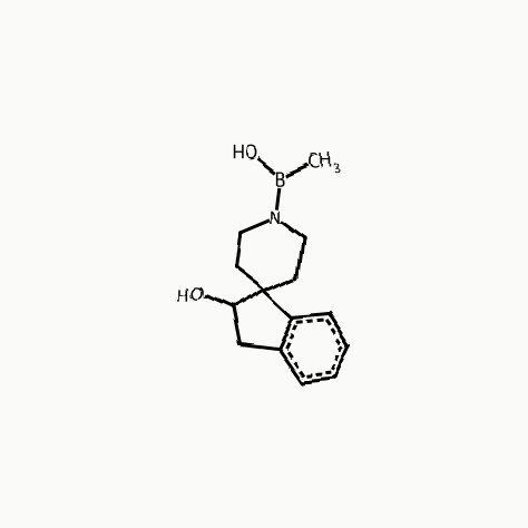 CB(O)N1CCC2(CC1)c1ccccc1CC2O